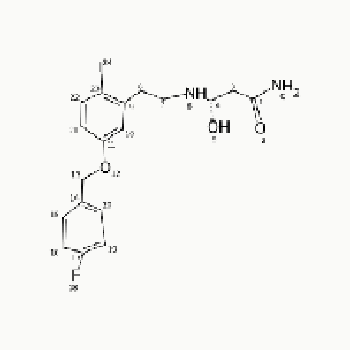 NC(=O)C[C@H](O)NCCc1cc(OCc2ccc(F)cc2)ccc1I